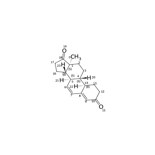 C[C@]12CC[C@H]3[C@@H](C=CC4=CC(=O)CC[C@@H]43)[C@@H]1CCC2=O